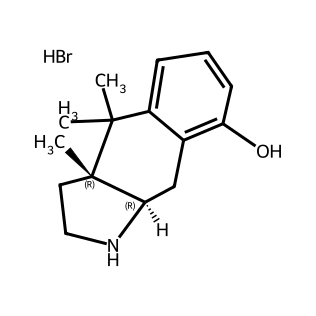 Br.CC1(C)c2cccc(O)c2C[C@H]2NCC[C@@]21C